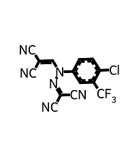 N#CC(C#N)=CN(N=C(C#N)C#N)c1ccc(Cl)c(C(F)(F)F)c1